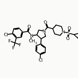 CN(C(=O)c1ccc(Cl)c(C(F)(F)F)c1)C1CN(C(=O)C2CCN(S(=O)(=O)C3CC3)CC2)CC1c1ccc(Cl)cc1